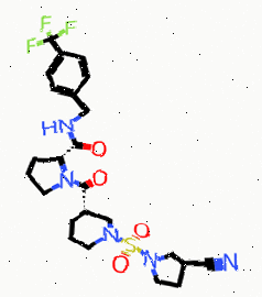 N#CC1CCN(S(=O)(=O)N2CCC[C@H](C(=O)N3CCC[C@@H]3C(=O)NCc3ccc(C(F)(F)F)cc3)C2)C1